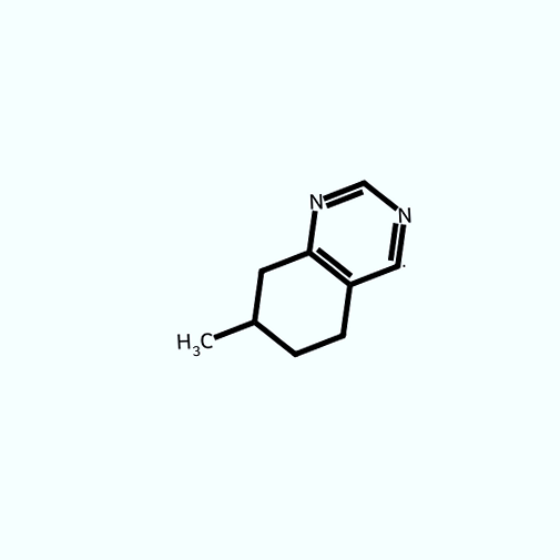 CC1CCc2[c]ncnc2C1